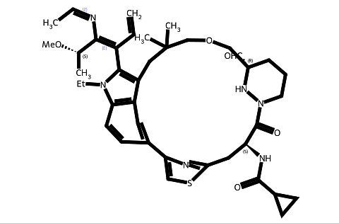 C=C/C(=C(\N=C/C)[C@H](C)OC)c1c2c3cc(ccc3n1CC)-c1csc(n1)C[C@H](NC(=O)C1CC1)C(=O)N1CCC[C@](C=O)(COCC(C)(C)C2)N1